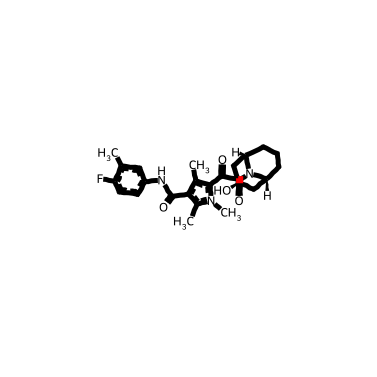 Cc1cc(NC(=O)c2c(C)c(C(=O)C(=O)N3[C@@H]4CCC[C@H]3C[C@H](O)C4)n(C)c2C)ccc1F